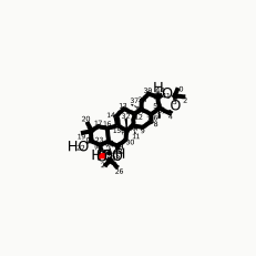 CC1(C)OC[C@]2(C)C3CC[C@]4(C)C(CC=C5C6CC(C)(C)[C@@H](O)[C@@H]7OC(C)(C)O[C@H](C[C@]54C)[C@]67CO)[C@@]3(C)CC[C@@H]2O1